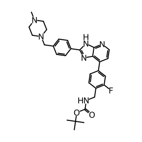 CN1CCN(Cc2ccc(-c3nc4c(-c5ccc(CNC(=O)OC(C)(C)C)c(F)c5)ccnc4[nH]3)cc2)CC1